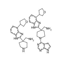 NCC1(c2nc3c(C4CCOC4)cccc3[nH]2)CCN(c2ncnc3[nH]ccc23)CC1.NCC1(c2nc3c(C4CCOC4)cccc3[nH]2)CCNCC1